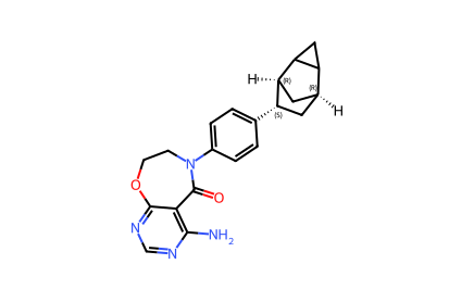 Nc1ncnc2c1C(=O)N(c1ccc([C@H]3C[C@H]4C[C@@H]3C3CC34)cc1)CCO2